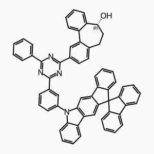 O[C@@H]1CCc2ccc(-c3nc(-c4ccccc4)nc(-c4cccc(-n5c6ccccc6c6cc7c(cc65)-c5ccccc5C75c6ccccc6-c6ccccc65)c4)n3)cc2-c2ccccc21